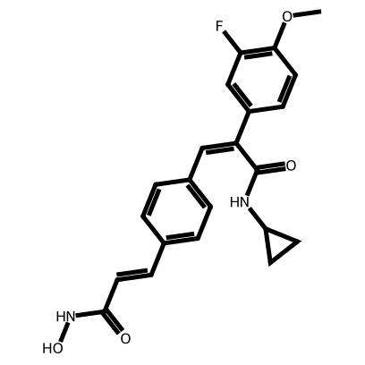 COc1ccc(C(=Cc2ccc(C=CC(=O)NO)cc2)C(=O)NC2CC2)cc1F